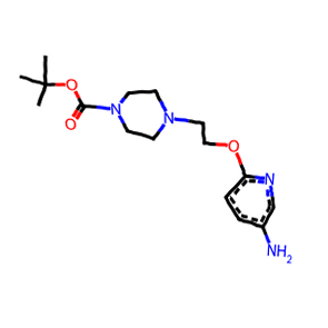 CC(C)(C)OC(=O)N1CCN(CCOc2ccc(N)cn2)CC1